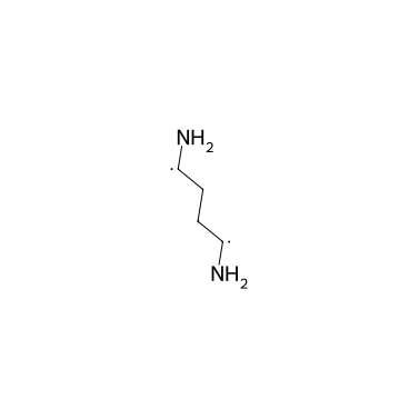 N[CH]CC[CH]N